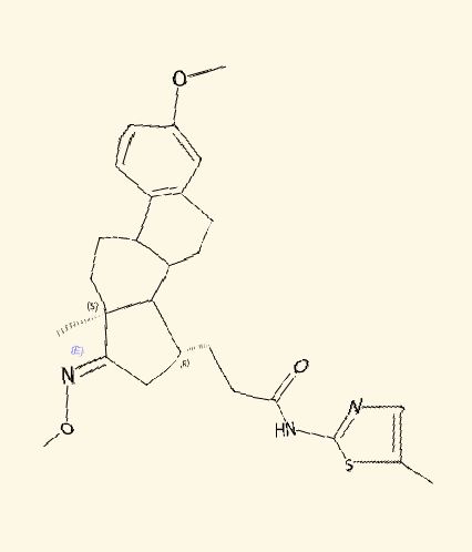 CO/N=C1\C[C@@H](CCC(=O)Nc2ncc(C)s2)C2C3CCc4cc(OC)ccc4C3CC[C@]12C